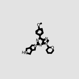 COc1ccc(-c2nc(N3CC4=C(CNC4)C3)nc3c2ncn3C2CCCCO2)cc1